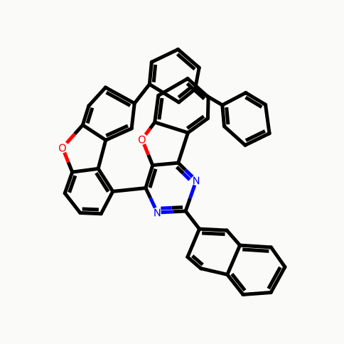 c1ccc(-c2cccc(-c3ccc4oc5cccc(-c6nc(-c7ccc8ccccc8c7)nc7c6oc6ccccc67)c5c4c3)c2)cc1